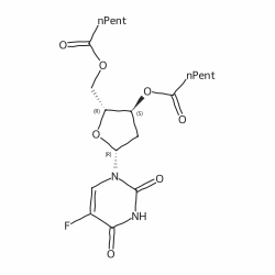 CCCCCC(=O)OC[C@H]1O[C@@H](n2cc(F)c(=O)[nH]c2=O)C[C@@H]1OC(=O)CCCCC